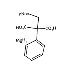 CCCCCCCCCCC(C(=O)O)(C(=O)O)c1ccccc1.[MgH2]